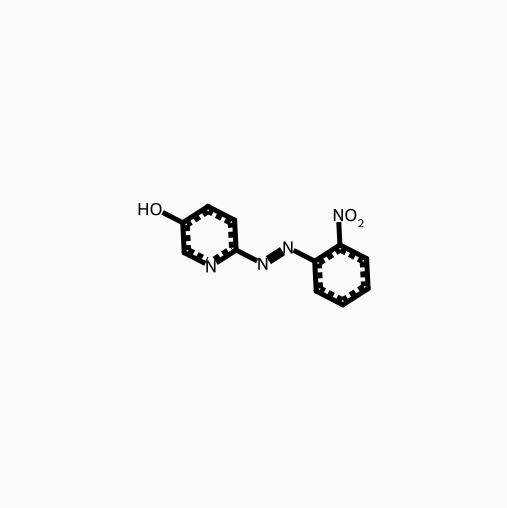 O=[N+]([O-])c1ccccc1N=Nc1ccc(O)cn1